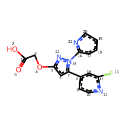 O=C(O)COc1cc(-c2ccnc(F)c2)n(-c2ccccn2)n1